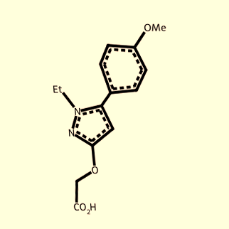 CCn1nc(OCC(=O)O)cc1-c1ccc(OC)cc1